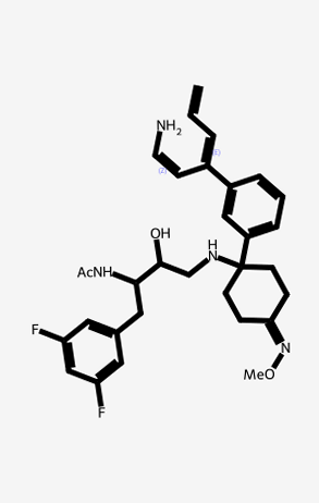 C=C/C=C(\C=C/N)c1cccc(C2(NCC(O)C(Cc3cc(F)cc(F)c3)NC(C)=O)CCC(=NOC)CC2)c1